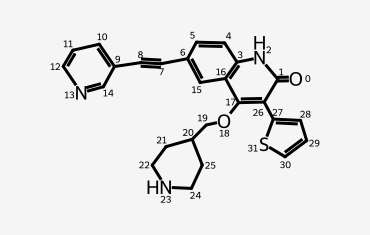 O=c1[nH]c2ccc(C#Cc3cccnc3)cc2c(OCC2CCNCC2)c1-c1cccs1